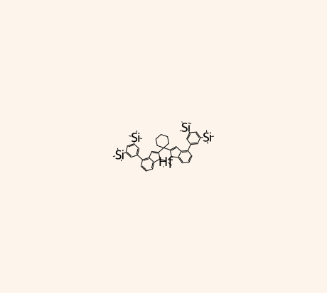 C[Si](C)(C)c1cc(-c2cccc3c2C=C2[CH]3[Hf]([CH3])([CH3])[CH]3C(=Cc4c(-c5cc([Si](C)(C)C)cc([Si](C)(C)C)c5)cccc43)C23CCCCC3)cc([Si](C)(C)C)c1